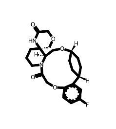 O=C1COC[C@]2(CCCN3C(=O)COc4ccc(F)cc4[C@H]4CC[C@H](CC4)OC[C@@H]32)N1